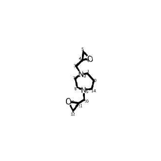 C1CN(CC2CO2)CCN(CC2CO2)C1